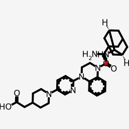 NC(=O)C12CC3C[C@H](C1)C(NC(=O)N1CCN(c4ccc(N5CCC(CC(=O)O)CC5)cn4)c4ccccc41)[C@@H](C3)C2